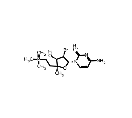 C=C1N=C(N)C=CN1[C@@H]1O[C@](C)(CCP(=C)(C)C)[C@@H](O)[C@H]1Br